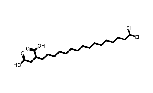 O=C(O)CC(CCCCCCCCCCCCCCCC(Cl)Cl)C(=O)O